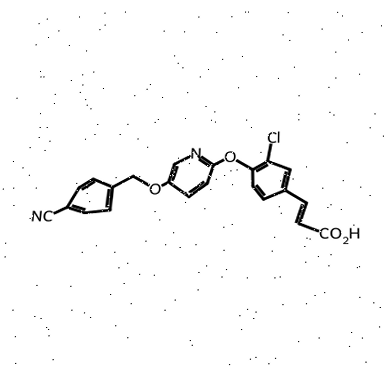 N#Cc1ccc(COc2ccc(Oc3ccc(C=CC(=O)O)cc3Cl)nc2)cc1